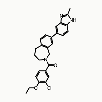 CCOc1ccc(C(=O)N2CCCc3ccc(-c4ccc5[nH]c(C)nc5c4)cc3C2)cc1Cl